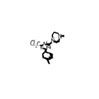 Cc1ccc(-c2nc(N3CCCN(C)CC3)nc(C(Cl)(Cl)Cl)n2)cc1